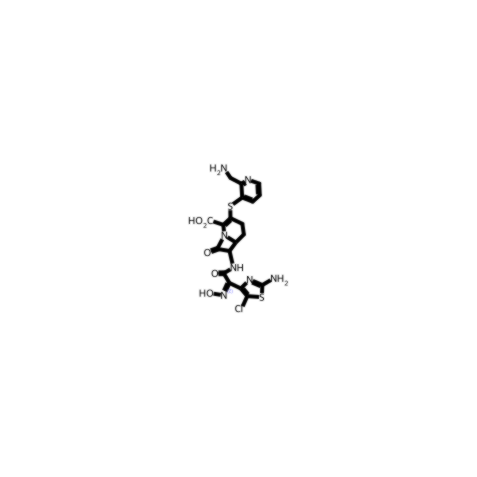 NCc1ncccc1SC1=C(C(=O)O)N2C(=O)C(NC(=O)/C(=N\O)c3nc(N)sc3Cl)C2CC1